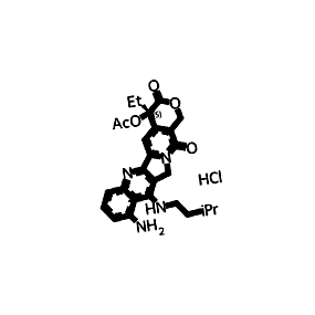 CC[C@@]1(OC(C)=O)C(=O)OCc2c1cc1n(c2=O)Cc2c-1nc1cccc(N)c1c2NCCC(C)C.Cl